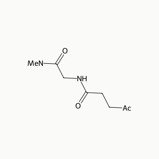 CNC(=O)CNC(=O)CCC(C)=O